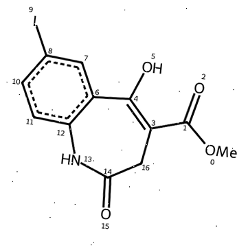 COC(=O)C1=C(O)c2cc(I)ccc2NC(=O)C1